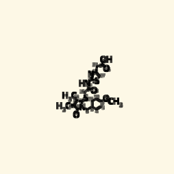 COc1ccc(CN2C(=O)C(C)=C(C)C2SCC(=O)Nc2nc(CC(=O)O)cs2)cc1